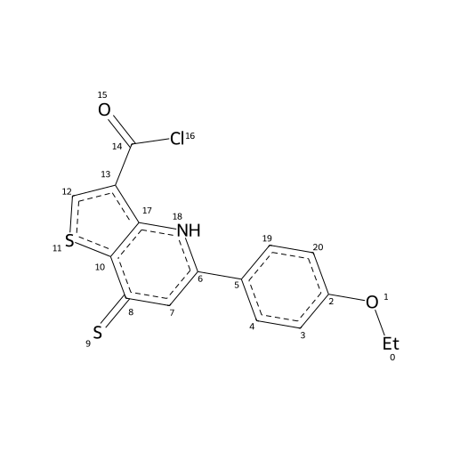 CCOc1ccc(-c2cc(=S)c3scc(C(=O)Cl)c3[nH]2)cc1